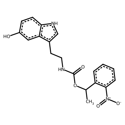 CC(OC(=O)NCCc1c[nH]c2ccc(O)cc12)c1ccccc1[N+](=O)[O-]